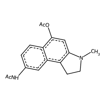 CC(=O)Nc1ccc2c(OC(C)=O)cc3c(c2c1)CCN3C